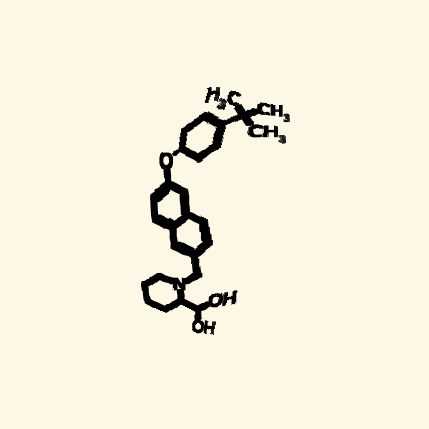 CC(C)(C)[C@H]1CC[C@H](Oc2ccc3cc(CN4CCCCC4C(O)O)ccc3c2)CC1